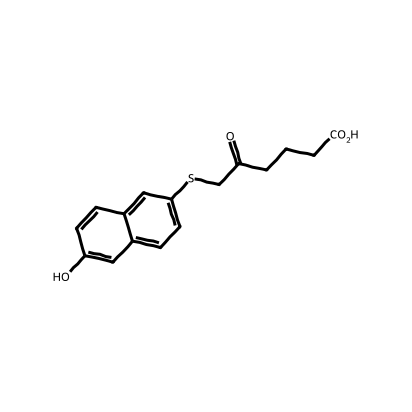 O=C(O)CCCC(=O)CSc1ccc2cc(O)ccc2c1